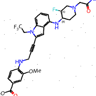 COC(=O)c1ccc(NCC#Cc2cc3c(N[C@@H]4CCN(CC(N)=O)C[C@@H]4F)cccc3n2CC(F)(F)F)c(OC)c1